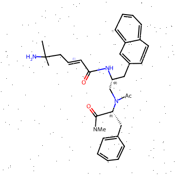 CNC(=O)[C@@H](Cc1ccccc1)N(C[C@@H](Cc1ccc2ccccc2c1)NC(=O)/C=C/CC(C)(C)N)C(C)=O